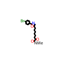 CNC(=O)C(=O)CCCCCCc1cnc(-c2ccc(Br)cc2)o1